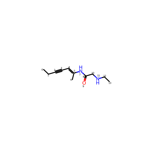 CCC#C/C=C(\C)NC(=O)CNCC